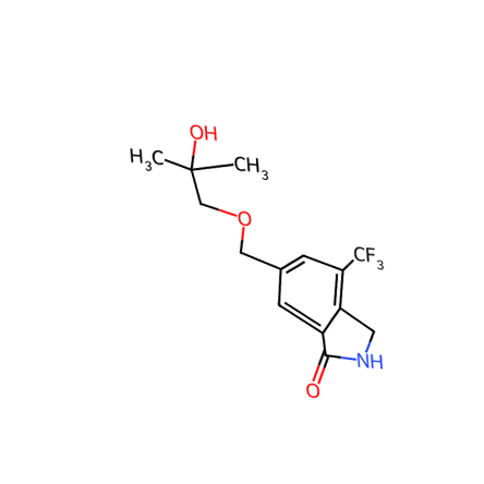 CC(C)(O)COCc1cc2c(c(C(F)(F)F)c1)CNC2=O